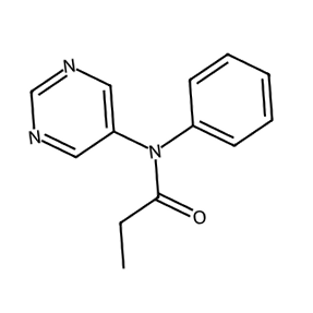 CCC(=O)N(c1ccccc1)c1cncnc1